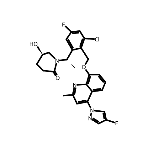 Cc1cc(-n2cc(F)cn2)c2cccc(OCc3c(Cl)cc(F)cc3[C@H](C)N3C[C@H](O)CCC3=O)c2n1